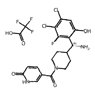 N[C@@H](c1c(O)cc(Cl)c(Cl)c1F)C1CCN(C(=O)c2ccc(=O)[nH]c2)CC1.O=C(O)C(F)(F)F